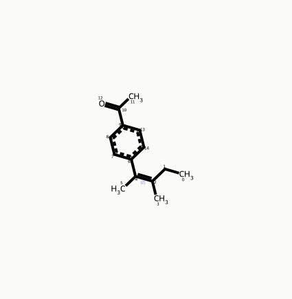 CC/C(C)=C(/C)c1ccc(C(C)=O)cc1